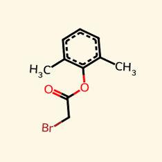 Cc1cccc(C)c1OC(=O)CBr